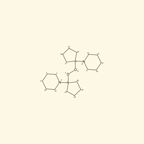 C1CCN(C2(OOC3(N4CCCCC4)CCCC3)CCCC2)CC1